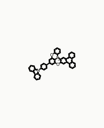 S=P12c3ccccc3Oc3cc(-c4ccc(-n5c6ccccc6c6ccccc65)cc4)cc(c31)Oc1cc3c4ccccc4c4ccccc4c3cc12